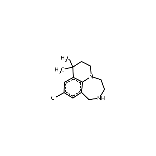 CC1(C)CCN2CCNCc3cc(Cl)cc1c32